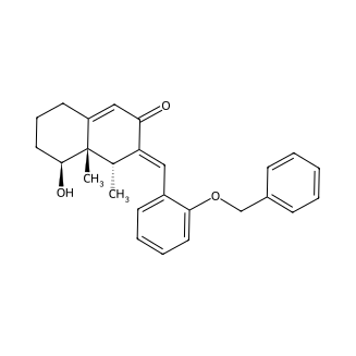 C[C@H]1/C(=C\c2ccccc2OCc2ccccc2)C(=O)C=C2CCC[C@H](O)[C@]21C